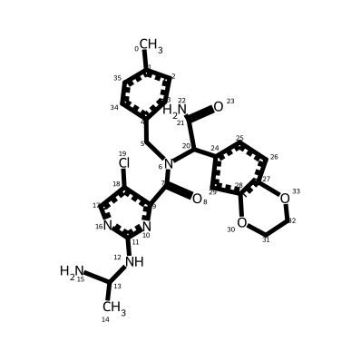 Cc1ccc(CN(C(=O)c2nc(NC(C)N)ncc2Cl)C(C(N)=O)c2ccc3c(c2)OCCO3)cc1